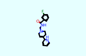 O=C(NCN1CC=C(C2C=CC=CN2)CC1)c1cccc(F)c1